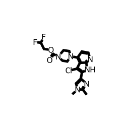 Cc1nc(-c2[nH]c3nccc(N4CCN(C(=O)OCC(F)F)CC4)c3c2Cl)cn1C